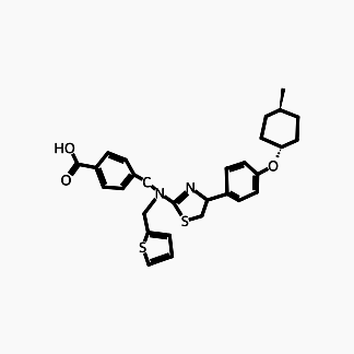 C[C@H]1CC[C@H](Oc2ccc(C3CSC(N(Cc4ccc(C(=O)O)cc4)Cc4cccs4)=N3)cc2)CC1